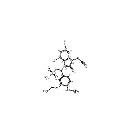 CCOc1cc(C(CS(C)(=O)=O)n2c(=O)n(CC#N)c3cc(F)cc(F)c32)ccc1OC